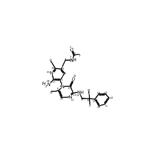 CC(=O)NCc1cc(-n2c(C)cnc(NCC(C)(C)c3ccccc3)c2=O)c(N)nc1C